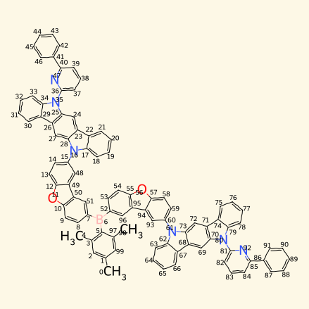 Cc1cc(C)c(B(c2ccc3oc4ccc(-n5c6ccccc6c6cc7c(cc65)c5ccccc5n7-c5cccc(-c6ccccc6)n5)cc4c3c2)c2ccc3oc4ccc(-n5c6ccccc6c6cc7c(cc65)c5ccccc5n7-c5cccc(-c6ccccc6)n5)cc4c3c2)c(C)c1